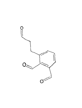 O=CCCc1cccc(C=O)c1C=O